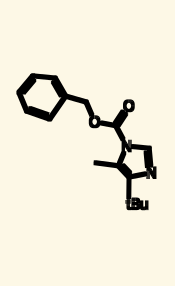 Cc1c(C(C)(C)C)ncn1C(=O)OCc1ccccc1